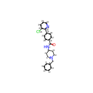 O=C(NC1CCN(Cc2ccccc2)CC1)c1ccc(-c2ncccc2Cl)cc1